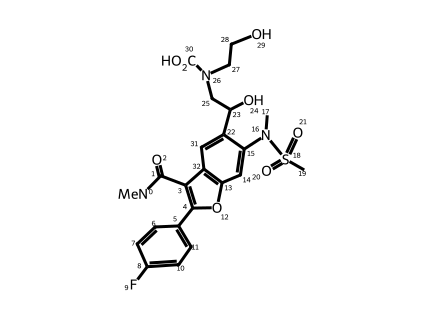 CNC(=O)c1c(-c2ccc(F)cc2)oc2cc(N(C)S(C)(=O)=O)c(C(O)CN(CCO)C(=O)O)cc12